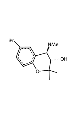 CN[C@@H]1c2cc(C(C)C)ccc2OC(C)(C)[C@H]1O